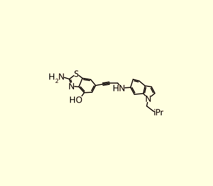 CC(C)Cn1ccc2ccc(NCC#Cc3cc(O)c4nc(N)sc4c3)cc21